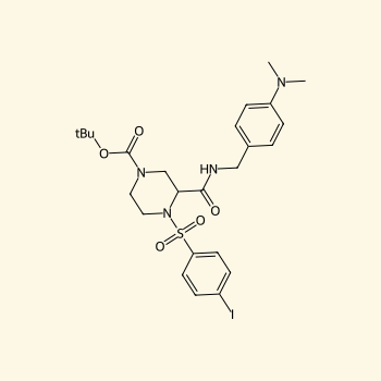 CN(C)c1ccc(CNC(=O)C2CN(C(=O)OC(C)(C)C)CCN2S(=O)(=O)c2ccc(I)cc2)cc1